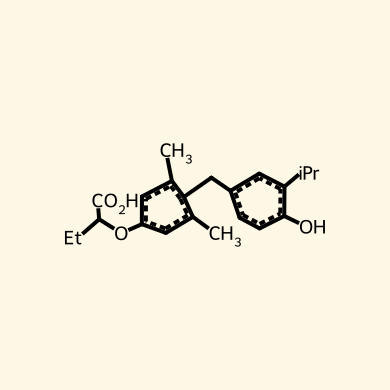 CCC(Oc1cc(C)c(Cc2ccc(O)c(C(C)C)c2)c(C)c1)C(=O)O